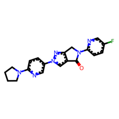 O=C1c2cn(-c3ccc(N4CCCC4)nc3)nc2CN1c1ccc(F)cn1